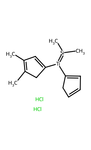 CC1=C(C)C[C]([Ti]([C]2=CC=CC2)=[Si](C)C)=C1.Cl.Cl